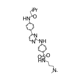 CC(C)CC(=O)Nc1ccc(-c2ccnc(Nc3ccc(S(=O)(=O)NCCCN(C)C)cc3)n2)cc1